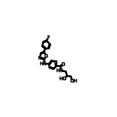 O=C(NCC(O)CO)c1ccc(Nc2ncc(-c3ccc(F)cc3)o2)cn1